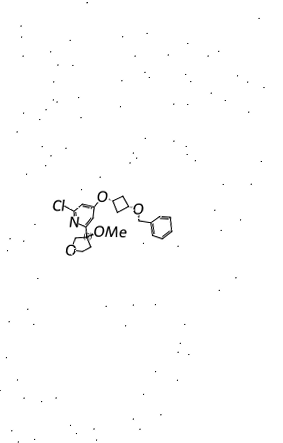 CO[C@@]1(c2cc(O[C@H]3C[C@@H](OCc4ccccc4)C3)cc(Cl)n2)CCOC1